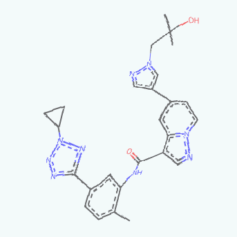 Cc1ccc(-c2nnn(C3CC3)n2)cc1NC(=O)c1cnn2ccc(-c3cnn(CC(C)(C)O)c3)cc12